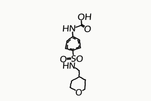 O=C(O)Nc1ccc(S(=O)(=O)NCC2CCOCC2)cc1